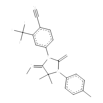 C=C1N(c2ccc(C#N)c(C(F)(F)F)c2)/C(=N/C)C(C)(C)N1c1ccc(C)cc1